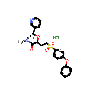 CN(C)C(=O)C(CCS(=O)(=O)c1ccc(Oc2ccccc2)cc1)OCc1cccnc1.Cl